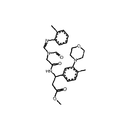 COC(=O)CC(NC(=O)CN(C=O)/C=N\c1ccccc1C)c1ccc(C)c(N2CCOCC2)c1